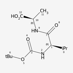 CC(C)[C@@H](NC(=O)OC(C)(C)C)C(=O)N[C@H](C)C(=O)O